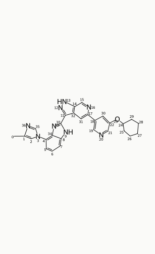 Cc1cn(-c2cccc3[nH]c(-c4n[nH]c5cnc(-c6cncc(OC7CCCCC7)c6)cc45)nc23)cn1